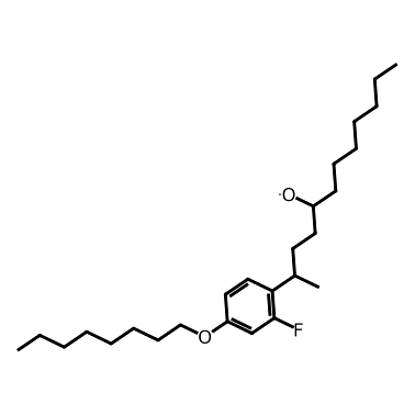 CCCCCCCCOc1ccc(C(C)CCC([O])CCCCCCC)c(F)c1